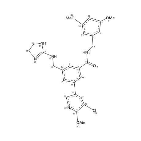 COc1cc(CNC(=O)c2cc(CNC3=NCCN3)cc(-c3cnc(OC)c(Cl)c3)c2)cc(OC)c1